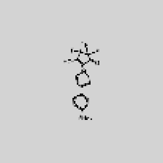 CCCCCCc1ccc(C2=CCN(C3=C(O)C(F)(F)C(F)(F)C3=O)C=C2)cc1